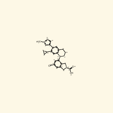 Cn1cc(-c2cc3c(cc2C2CC2)N(c2cc(Cl)cc4c2CN(C(=O)O)C4)CCC3)cn1